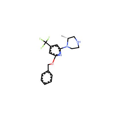 C[C@@H]1CNCCN1c1cc(C(F)(F)F)cc(OCc2ccccc2)n1